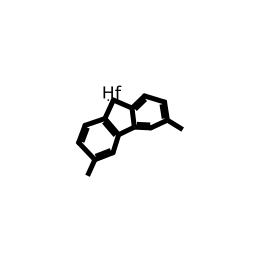 Cc1ccc2c(c1)-c1cc(C)ccc1[CH]2.[Hf]